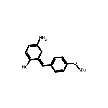 CCCCOc1ccc(C=C2CC(N)=CC=C2C#N)cc1